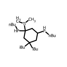 CCCCPC1CC(C(C)CC)(C(C)CC)C[C](PCCCC)([Ti]([CH3])[CH3])C1